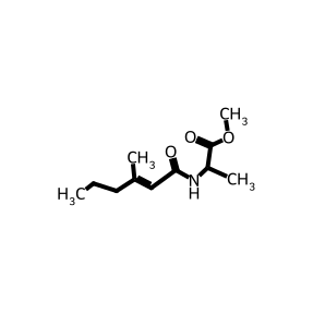 CCC/C(C)=C/C(=O)NC(C)C(=O)OC